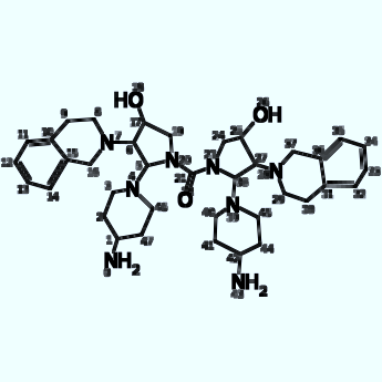 NC1CCN(C2C(N3CCc4ccccc4C3)C(O)CN2C(=O)N2CC(O)C(N3CCc4ccccc4C3)C2N2CCC(N)CC2)CC1